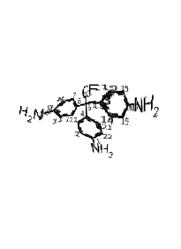 Nc1ccc(C(c2ccc(N)cc2)(c2ccc(N)cc2)C(F)(F)F)cc1